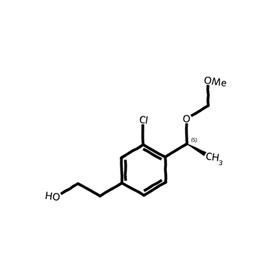 COCO[C@@H](C)c1ccc(CCO)cc1Cl